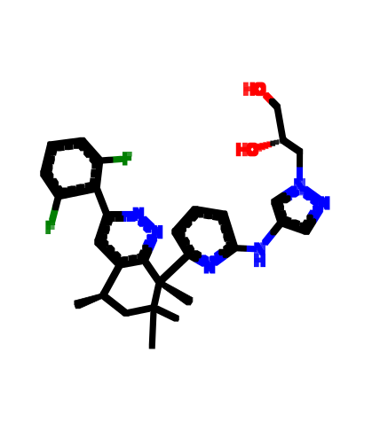 C[C@@H]1CC(C)(C)[C@@](C)(c2cccc(Nc3cnn(C[C@H](O)CO)c3)n2)c2nnc(-c3c(F)cccc3F)cc21